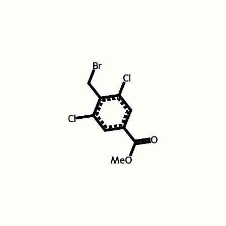 COC(=O)c1cc(Cl)c(CBr)c(Cl)c1